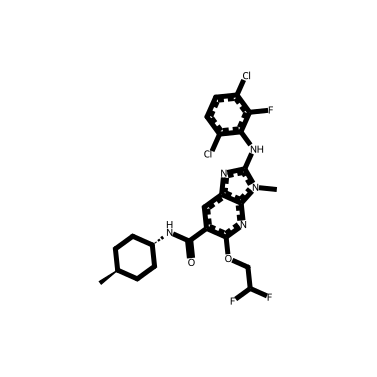 Cn1c(Nc2c(Cl)ccc(Cl)c2F)nc2cc(C(=O)N[C@H]3CC[C@H](C)CC3)c(OCC(F)F)nc21